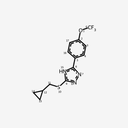 FC(F)(F)Oc1ccc(-c2nnc(SCC3CC3)[nH]2)cc1